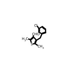 Cc1sc(C)c(Cc2cccc(Cl)c2)c1C=O